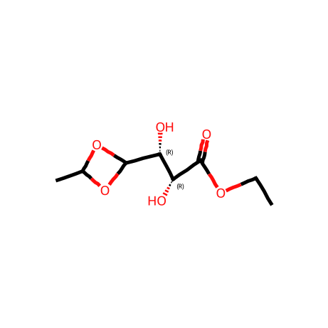 CCOC(=O)[C@H](O)[C@@H](O)C1OC(C)O1